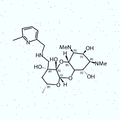 CN[C@@H]1[C@H](O)[C@H](NC)[C@H]2O[C@]3(O)[C@H](OC2[C@H]1O)O[C@H](C)C[C@@]3(O)CNCc1cccc(C)n1